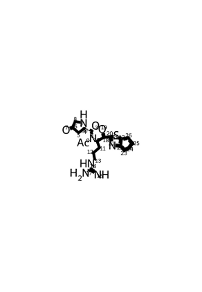 CC(=O)N(C(=O)[C@@H]1CC(=O)CN1)C(CCCNC(=N)N)C(=O)c1nc2ccccc2s1